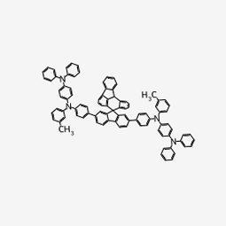 Cc1cccc(N(c2ccc(-c3ccc4c(c3)C3(c5cc(-c6ccc(N(c7ccc(N(c8ccccc8)c8ccccc8)cc7)c7cccc(C)c7)cc6)ccc5-4)c4ccccc4C4c5ccccc5-c5cccc3c54)cc2)c2ccc(N(c3ccccc3)c3ccccc3)cc2)c1